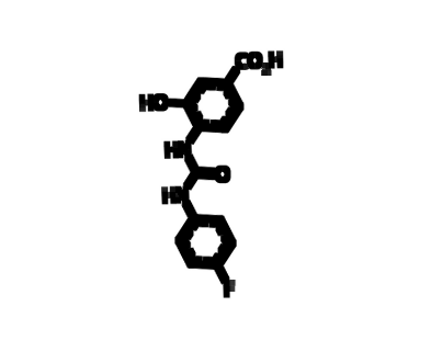 O=C(Nc1ccc(F)cc1)Nc1ccc(C(=O)O)cc1O